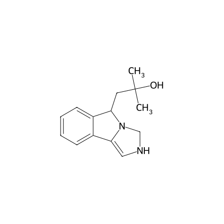 CC(C)(O)CC1c2ccccc2C2=CNCN21